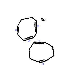 C1=C\C=C/CC\C=C/1.C1=C\CC/C=C\CC/1.[Ru]